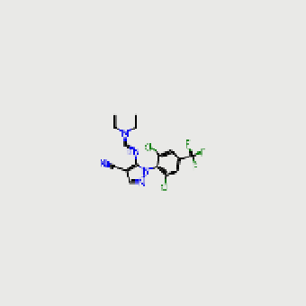 CCN(/C=N/c1c(C#N)cnn1-c1c(Cl)cc(C(F)(F)F)cc1Cl)CC